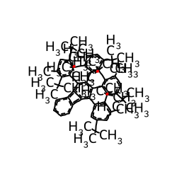 Cc1cc(C(C)(C)C)cc(-c2c(-c3cc(C(C)(C)C)cc(C)c3C(C)(C)C)c(-c3cc(C(C)(C)C)cc(C)c3C(C)(C)C)c3c(c2-c2cc(C(C)(C)C)cc(C)c2C(C)(C)C)=c2ccccc2=3)c1C(C)(C)C